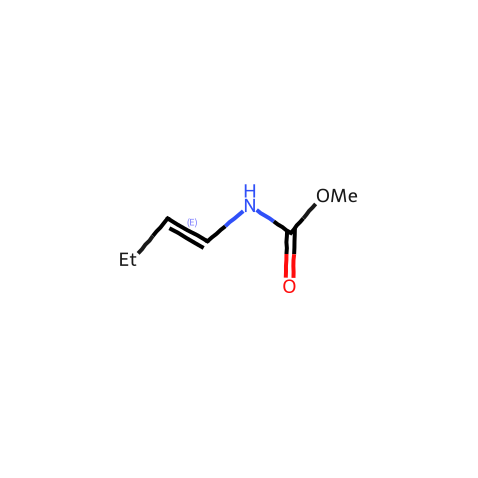 CC/C=C/NC(=O)OC